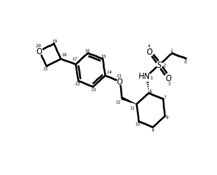 CCS(=O)(=O)N[C@@H]1CCCC[C@H]1COc1ccc(C2COC2)cc1